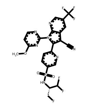 COc1ccnc(-n2c(-c3ccc(S(=O)(=O)N[C@@H](CF)C(F)F)cn3)c(C#N)c3cc(C(F)(F)F)cnc32)n1